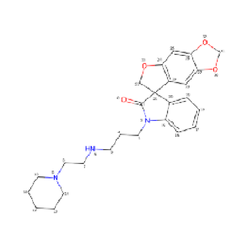 O=C1N(CCCNCCN2CCCCC2)c2ccccc2C12COc1cc3c(cc12)OCO3